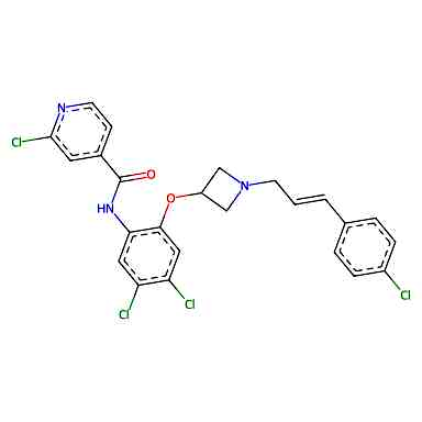 O=C(Nc1cc(Cl)c(Cl)cc1OC1CN(CC=Cc2ccc(Cl)cc2)C1)c1ccnc(Cl)c1